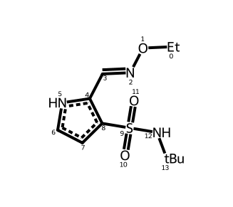 CCON=Cc1[nH]ccc1S(=O)(=O)NC(C)(C)C